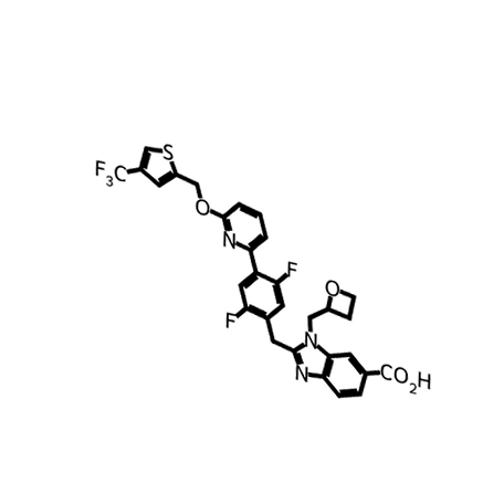 O=C(O)c1ccc2nc(Cc3cc(F)c(-c4cccc(OCc5cc(C(F)(F)F)cs5)n4)cc3F)n(CC3CCO3)c2c1